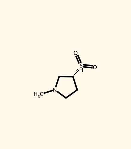 CN1CC[C@@H]([SH](=O)=O)C1